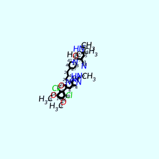 CNc1ncc2cc(-c3c(Cl)c(OC)cc(OC)c3Cl)c(=O)n(CCCC3CCN(C(=O)/C(C#N)=C\C(C)(C)NC)CC3)c2n1